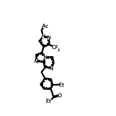 CCC(=O)c1ccc(Cc2nccn3c(-c4cn(CC(C)=O)nc4C(F)(F)F)cnc23)cc1CC